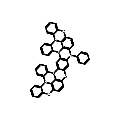 c1ccc(N2c3cc4c(cc3B3c5ccccc5N5c6ccccc6Oc6ccc2c3c65)B2c3ccccc3N3c5ccccc5Oc5ccc(c2c53)S4)cc1